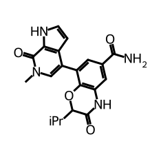 CC(C)C1Oc2c(cc(C(N)=O)cc2-c2cn(C)c(=O)c3[nH]ccc23)NC1=O